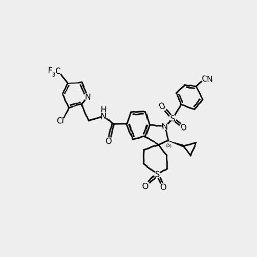 N#Cc1ccc(S(=O)(=O)N2c3ccc(C(=O)NCc4ncc(C(F)(F)F)cc4Cl)cc3C3(CCS(=O)(=O)CC3)[C@@H]2C2CC2)cc1